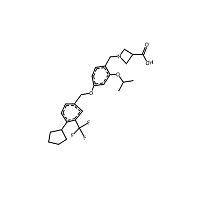 CC(C)Oc1cc(OCc2ccc(C3CCCC3)c(C(F)(F)F)c2)ccc1CN1CC(C(=O)O)C1